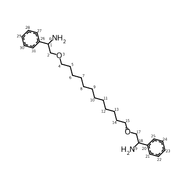 NC(COCCCCCCCCCCCCOCC(N)c1ccccc1)c1ccccc1